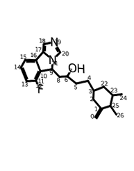 C=C1CC(CCC(O)CC2c3c(F)cccc3-c3cncn32)CC(C)C1C